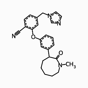 CN1CCCCCC(c2cccc(Oc3cc(Cn4ccnc4)ccc3C#N)c2)C1=O